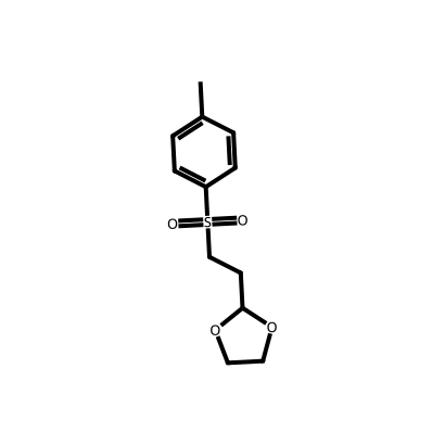 Cc1ccc(S(=O)(=O)CCC2OCCO2)cc1